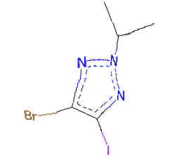 CC(C)n1nc(Br)c(I)n1